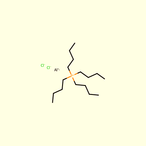 CCCC[P+](CCCC)(CCCC)CCCC.[Al+].[Cl-].[Cl-]